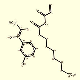 C=CC(=O)OC(=O)CCCCCCCC(=O)O.CC(C(=O)O)=[P+]([O-])c1cccc(O)c1